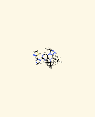 [2H]C([2H])([2H])C([2H])([2H])C1c2nnc(C)n2-c2cnc(-n3ccnc3-c3nccs3)nc2N1C([2H])(C([2H])([2H])[2H])C([2H])([2H])[2H]